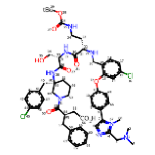 CN(C)Cc1ncc(-c2ccc(Oc3cc(Cl)ccc3CN[C@@H](CCNC(=O)OC(C)(C)C)C(=O)N[C@@H](CO)C(=O)N[C@@]3(Cc4ccc(Cl)cc4)CCCN(C(=O)[C@@H](CC(=O)O)Cc4ccccc4)C3)cc2)n1C